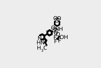 CCc1cc2c(-c3ccc(S(=O)(=O)NC4CCS(=O)(=O)CC4)cc3)ccnc2[nH]1.O=C(O)C(F)(F)F